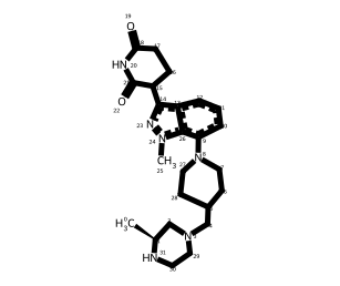 C[C@H]1CN(CC2CCN(c3cccc4c(C5CCC(=O)NC5=O)nn(C)c34)CC2)CCN1